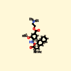 CCCCOc1cc(C(=O)OCCN(CC)CC)ccc1NOC(=O)[C@@H](Cc1ccc2ccccc2c1)NC(C)=O